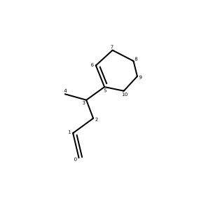 C=CCC(C)C1=CCCCC1